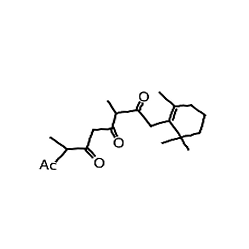 CC(=O)C(C)C(=O)CC(=O)C(C)C(=O)CC1=C(C)CCCC1(C)C